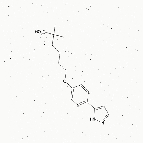 CC(C)(CCCCOc1ccc(-c2ccn[nH]2)nc1)C(=O)O